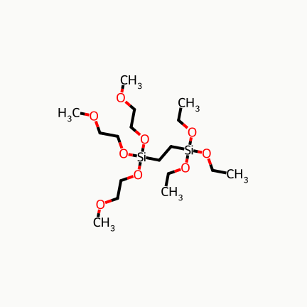 CCO[Si](CC[Si](OCCOC)(OCCOC)OCCOC)(OCC)OCC